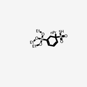 CCCC1(S(=O)(=O)S)C=CC=C([Si](OCC)(OCC)OCC)C1